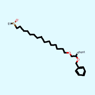 CCCCCC(COCCCCCCCCCCCCCCC[S+]([O-])CC)OCc1ccccc1